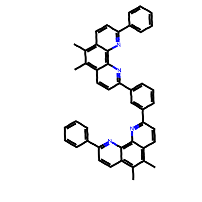 Cc1c(C)c2ccc(-c3cccc(-c4ccc5c(C)c(C)c6ccc(-c7ccccc7)nc6c5n4)c3)nc2c2nc(-c3ccccc3)ccc12